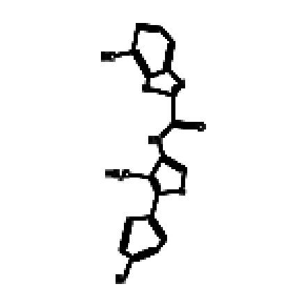 N#Cc1cccc2nc(C(=O)Nc3csc(-c4ccc(Br)cc4)c3C(=O)O)oc12